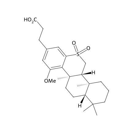 COc1cc(CCC(=O)O)cc2c1[C@]1(C)CC[C@H]3C(C)(C)CCC[C@]3(C)[C@H]1CS2(=O)=O